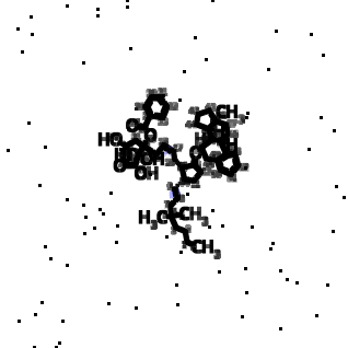 CCCCC(C)(C)C/C=C/[C@H]1CCC(=O)[C@@H]1C/C=C\CC(CC(=O)O)(OC(=O)c1ccccc1)C(O)(O)C(=O)O.C[C@@]12CCC[C@H]1[C@@H]1CCc3ccccc3[C@H]1CC2